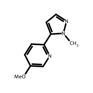 COc1ccc(-c2ccnn2C)nc1